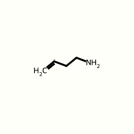 C=[C]CCN